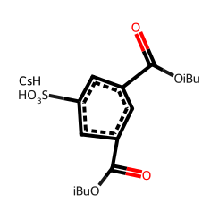 CC(C)COC(=O)c1cc(C(=O)OCC(C)C)cc(S(=O)(=O)O)c1.[CsH]